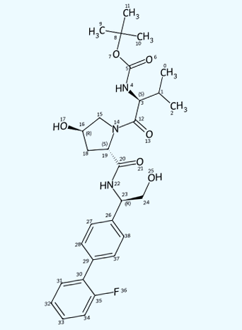 CC(C)[C@H](NC(=O)OC(C)(C)C)C(=O)N1C[C@H](O)C[C@H]1C(=O)N[C@@H](CO)c1ccc(-c2ccccc2F)cc1